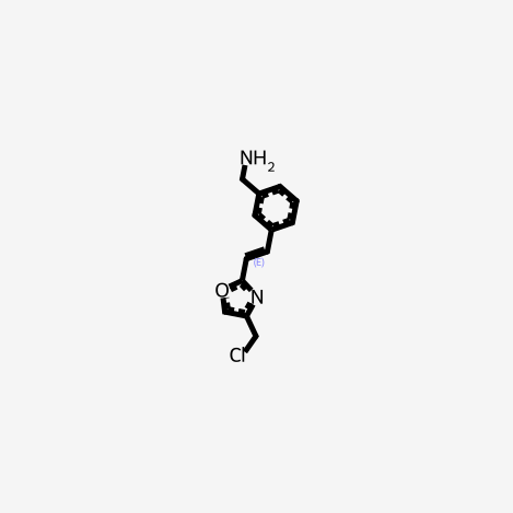 NCc1cccc(/C=C/c2nc(CCl)co2)c1